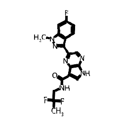 Cn1nc(-c2cnc3[nH]cc(C(=O)NCC(C)(F)F)c3n2)c2ccc(F)cc21